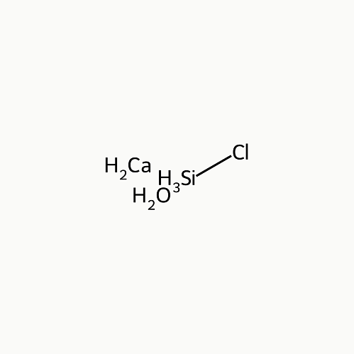 O.[CaH2].[SiH3]Cl